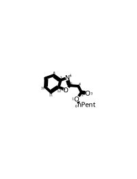 CCCCCOC(=O)Cc1nc2ccccc2o1